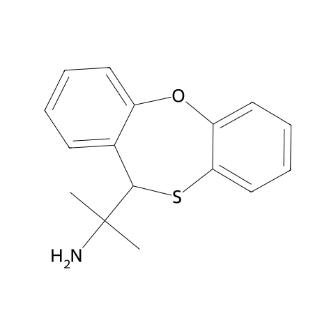 CC(C)(N)C1Sc2ccccc2Oc2ccccc21